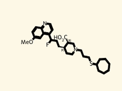 COc1ccc2nccc(C(F)CC[C@@H]3CCN(CCCSC4CCCCCC4)C[C@@H]3C(=O)O)c2c1